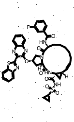 O=C(N[C@H]1CCCCCC=C[C@@H]2C[C@@]2(C(=O)NS(=O)(=O)C2CC2)NC(=O)[C@@H]2C[C@@H](Oc3nc4ccccc4nc3-c3nc4ccccc4s3)CN2C1=O)c1cccc(F)c1